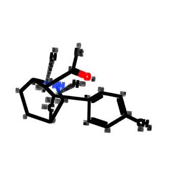 CCC(=O)[C@@H]1C2CCC(CN2)C[C@@H]1c1ccc(C)cc1